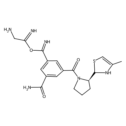 CC1=CSC([C@H]2CCCN2C(=O)c2cc(C(=N)OC(=N)CN)cc(C(N)=O)c2)N1